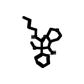 CC=CCNC(=O)C(OC)(c1ccccn1)C(S)N1CCOCC1